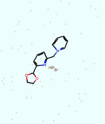 Br.[Br-].c1cc[n+](Cc2cccc(C3OCCO3)n2)cc1